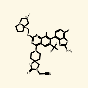 N#CCN1CC2(CCN(c3nc(OC[C@@]45CCCN4C[C@H](F)C5)nc4c(F)c(-c5ccc(F)c6sc(N)nc56)c(C(F)(F)F)cc34)CC2)OC1=O